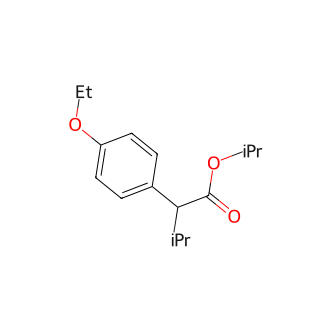 CCOc1ccc(C(C(=O)OC(C)C)C(C)C)cc1